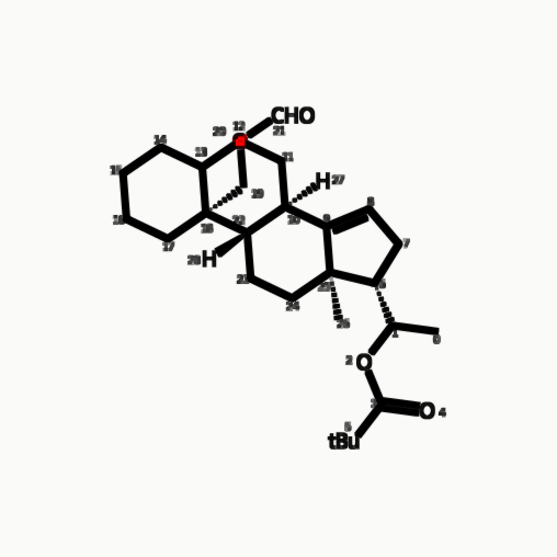 CC(OC(=O)C(C)(C)C)[C@H]1CC=C2[C@@H]3CCC4CCCC[C@]4(COC=O)[C@H]3CC[C@@]21C